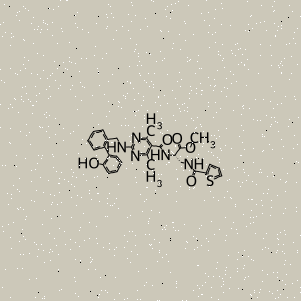 COC(=O)[C@H](CNC(=O)c1cccs1)NC(=O)c1c(C)nc(NCc2ccccc2-c2ccccc2O)nc1C